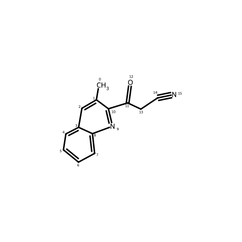 Cc1cc2ccccc2nc1C(=O)CC#N